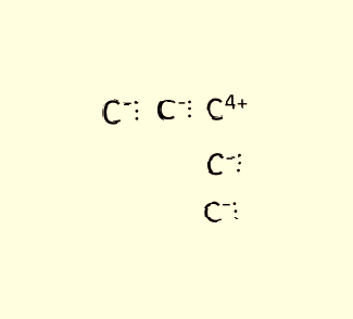 [C+4].[C-].[C-].[C-].[C-]